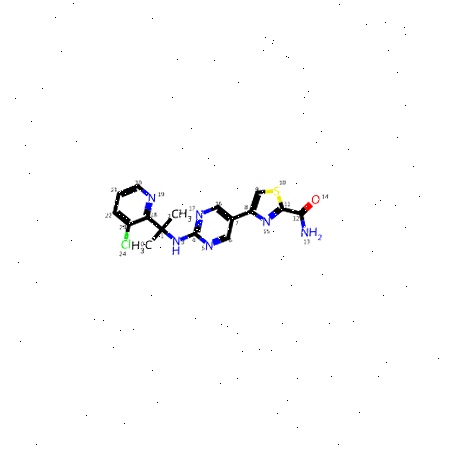 CC(C)(Nc1ncc(-c2csc(C(N)=O)n2)cn1)c1ncccc1Cl